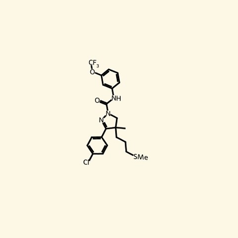 CSCCCC1(C)CN(C(=O)Nc2cccc(OC(F)(F)F)c2)N=C1c1ccc(Cl)cc1